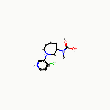 CN(C(=O)O)C1CCCCN(c2cnccc2Cl)C1